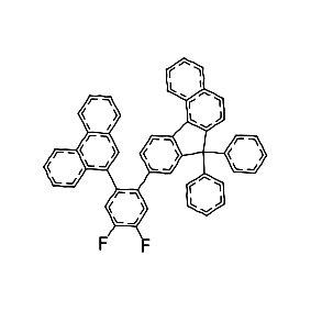 Fc1cc(-c2ccc3c(c2)C(c2ccccc2)(c2ccccc2)c2ccc4ccccc4c2-3)c(-c2cc3ccccc3c3ccccc23)cc1F